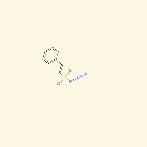 [N-]=[N+]=NS(=O)(=O)C=Cc1ccccc1